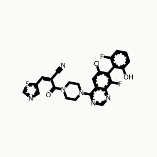 N#C/C(=C/c1cncs1)C(=O)N1CCN(c2ncnc3c(F)c(-c4c(O)cccc4F)c(Cl)cc23)CC1